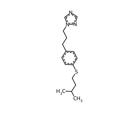 CC(C)CCSc1ccc(CCCn2cncn2)cc1